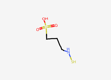 O=S(=O)(O)CCCNS